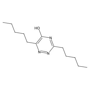 CCCCCc1nnc(CCCCC)c(O)n1